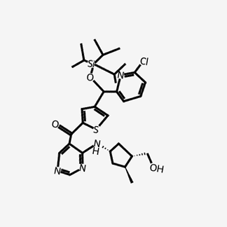 CC(C)[Si](OC(c1csc(C(=O)c2cncnc2N[C@@H]2C[C@H](CO)[C@@H](C)C2)c1)c1cccc(Cl)n1)(C(C)C)C(C)C